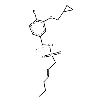 CCC/C=C/CS(=O)(=O)N[C@H](C)c1ccc(F)c(OCC2CC2)c1